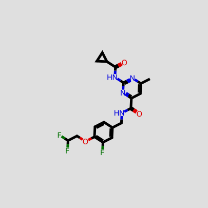 Cc1cc(C(=O)NCc2ccc(OCC(F)F)c(F)c2)nc(NC(=O)C2CC2)n1